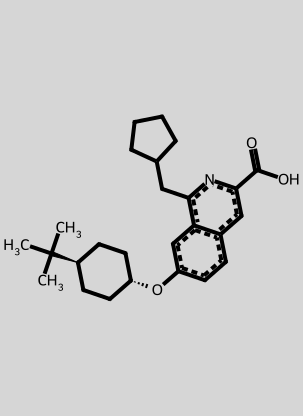 CC(C)(C)[C@H]1CC[C@H](Oc2ccc3cc(C(=O)O)nc(CC4CCCC4)c3c2)CC1